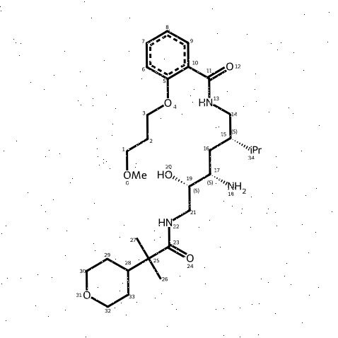 COCCCOc1ccccc1C(=O)NC[C@@H](C[C@H](N)[C@@H](O)CNC(=O)C(C)(C)C1CCOCC1)C(C)C